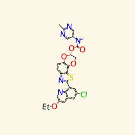 CCOc1cnc2c(-c3nc4ccc5c(c4s3)OC[C@@H](OC(=O)N(C)c3cnc(C)nc3)O5)cc(Cl)cc2c1